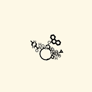 Cc1cnc(C(=O)N[C@H]2CCCCC/C=C\C3CC[C@@]3(C(=O)NS(=O)(=O)C3CC3)NC(=O)[C@@H]3C[C@@H](Oc4cc5ccccc5c5ccccc45)CN3C2=O)cn1